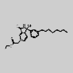 CCCCCCCCc1cccc(C2(O)NC(=O)C3=CN(CC(=O)OCC)C=CC32)c1